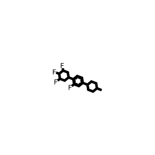 CC1CCC(c2ccc(C3CC(F)C(F)C(F)C3)c(F)c2)CC1